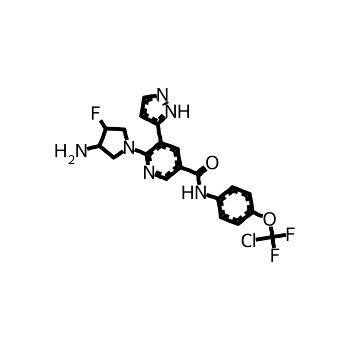 NC1CN(c2ncc(C(=O)Nc3ccc(OC(F)(F)Cl)cc3)cc2-c2ccn[nH]2)CC1F